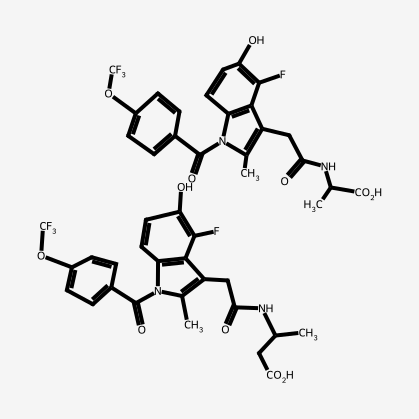 Cc1c(CC(=O)NC(C)C(=O)O)c2c(F)c(O)ccc2n1C(=O)c1ccc(OC(F)(F)F)cc1.Cc1c(CC(=O)NC(C)CC(=O)O)c2c(F)c(O)ccc2n1C(=O)c1ccc(OC(F)(F)F)cc1